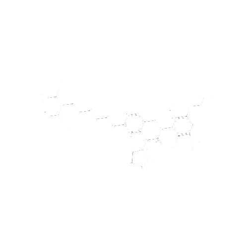 CCOc1cc(OC)c(F)c(N2Cc3cnc(NCCCCCN(C(C)C)C(C)C)nc3N(C3CCCC3)C2=O)c1Cl